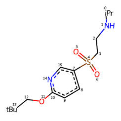 CC(C)NCCS(=O)(=O)c1ccc(OCC(C)(C)C)nc1